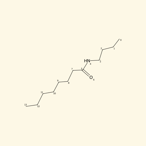 CCC[CH]NC(=O)CCCCCCC